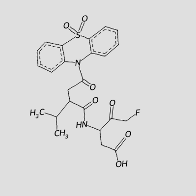 CC(C)C(CC(=O)N1c2ccccc2S(=O)(=O)c2ccccc21)C(=O)NC(CC(=O)O)C(=O)CF